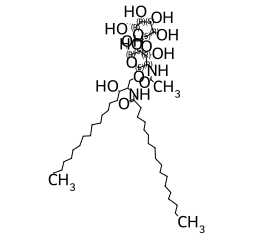 CCCCCCCCCCCCCCCCCC(=O)NC(CO[C@H]1O[C@H](CO)[C@@](O)(O[C@@H]2O[C@H](CO)[C@H](O)[C@H](O)[C@H]2O)[C@H](O)[C@H]1NC(C)=O)C(O)CCCCCCCCCCCCCCC